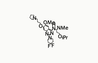 CN[C@H](CCOC(C)C)Nc1nc(N2CCC(F)(F)CC2)nc2cc(OCCCN3CCCC3)c(OC)cc12